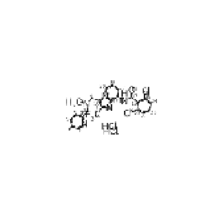 CN(Cc1ccccn1)Cc1c(C(F)(F)F)nc2c(NC(=O)c3c(Cl)cccc3Cl)cccn12.Cl.Cl